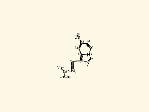 CC(C)(C)[S+]([O-])N=Cc1ncn2ccc(Br)cc12